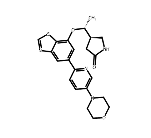 C[C@@H](Oc1cc(-c2ccc(N3CCOCC3)cn2)cc2ncsc12)[C@H]1CNC(=O)C1